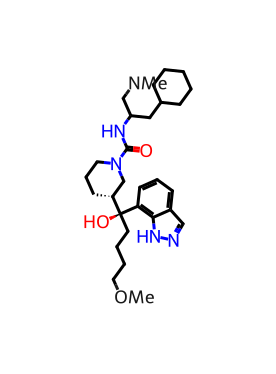 CNCC(CC1CCCCC1)NC(=O)N1CCC[C@@H]([C@@](O)(CCCCOC)c2cccc3cn[nH]c23)C1